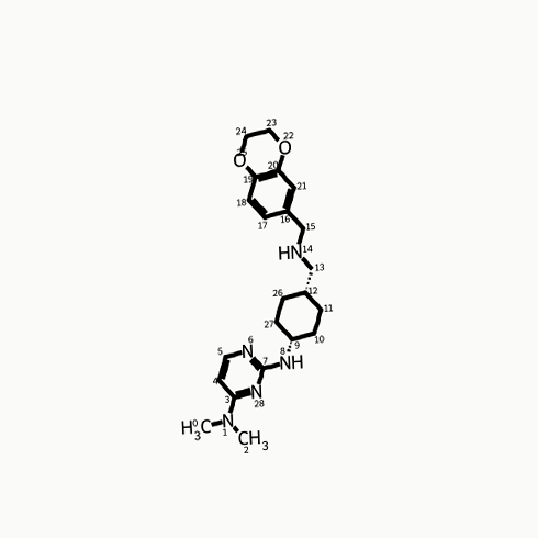 CN(C)c1ccnc(N[C@H]2CC[C@@H](CNCc3ccc4c(c3)OCCO4)CC2)n1